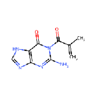 C=C(C)C(=O)n1c(N)nc2nc[nH]c2c1=O